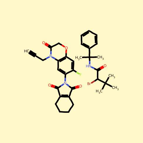 C#CCN1C(=O)COc2cc(F)c(N3C(=O)C4=C(CCCC4)C3=O)cc21.CC(C)(NC(=O)C(Br)C(C)(C)C)c1ccccc1